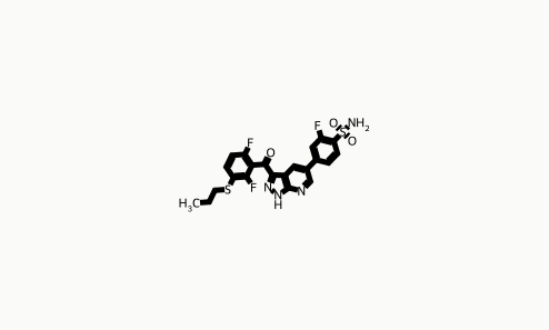 CCCSc1ccc(F)c(C(=O)c2n[nH]c3ncc(-c4ccc(S(N)(=O)=O)c(F)c4)cc23)c1F